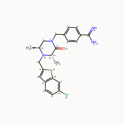 C[C@H]1CN(Cc2ccc(C(=N)N)cc2)C(=O)[C@H](C)N1Cc1cc2ccc(Cl)cc2s1